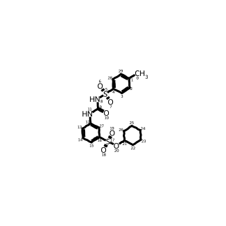 Cc1ccc(S(=O)(=O)NC(=O)Nc2cccc(S(=O)(=O)OC3CCCCC3)c2)cc1